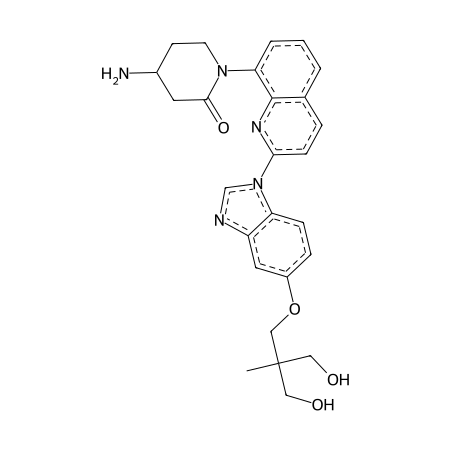 CC(CO)(CO)COc1ccc2c(c1)ncn2-c1ccc2cccc(N3CCC(N)CC3=O)c2n1